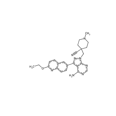 CCOc1ccc2cc(-c3nn(CC4(C#N)CCN(C)CC4)c4ncnc(N)c34)ccc2n1